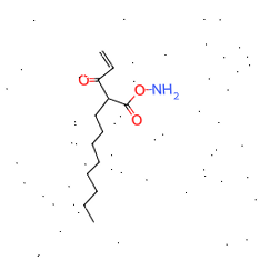 C=CC(=O)C(CCCCCCCC)C(=O)ON